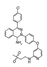 CS(=O)(=O)CCNc1cc(Oc2ccc(N3N=C(c4ccc(Cl)cc4)c4ccccc4C3N)cc2)ccn1